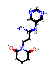 N/C(CCN1C(=O)CCCC1=O)=N\c1cncnc1